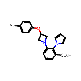 CC(=O)c1ccc(OC2CN(c3cccc(C(=O)O)c3-n3cccc3)C2)cc1